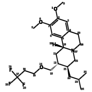 COc1cc2c(cc1OC)[C@H]1C[C@@H](COCCC(F)(F)F)[C@H](CC(C)C)CN1CC2